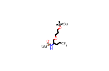 CC(C)(C)[S@@+]([O-])NC(CCC(F)(F)F)COCCCO[Si](C)(C)C(C)(C)C